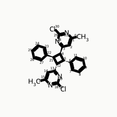 Cc1cc([C@H]2[C@H](c3ccccc3)[C@H](c3cc(C)nc(Cl)n3)[C@H]2c2ccccc2)nc(Cl)n1